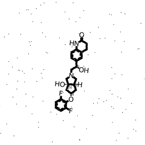 O=C1CCc2cc([C@@H](O)CN3C[C@H]4C[C@H](Oc5c(F)cccc5F)C[C@@]4(O)C3)ccc2N1